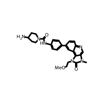 COCCn1c(=O)n(C)c2cnc3ccc(-c4ccc(NC(=O)N5CCC(N)CC5)cc4)cc3c21